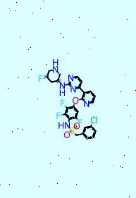 O=S(=O)(Cc1cccc(Cl)c1)Nc1c(F)cc(Oc2ncccc2-c2ccnc(N[C@@H]3CNC[C@@H](F)C3)n2)c(F)c1F